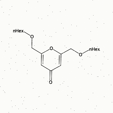 CCCCCCOCc1cc(=O)cc(COCCCCCC)o1